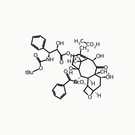 CC(=O)O.CC(=O)O[C@@]12CO[C@@H]1C[C@H](O)[C@@]1(C)C(=O)[C@H](O)C3=C(C)[C@@H](OC(=O)[C@H](O)[C@@H](NC(=O)OC(C)(C)C)c4ccccc4)C[C@@](O)([C@@H](OC(=O)c4ccccc4)[C@H]21)C3(C)C